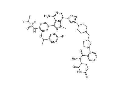 CC(=O)N(C(=O)c1ccccc1N1CCC(CN2CCC(n3cc(-c4cnc(N)c5c(-c6ccc(NS(=O)(=O)C(F)F)c(OC(C)c7ccc(F)cc7)c6)nn(C)c45)cn3)CC2)C1)C1CCC(=O)NC1=O